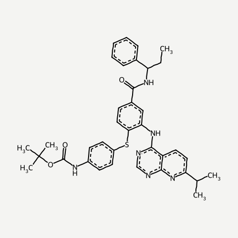 CCC(NC(=O)c1ccc(Sc2ccc(NC(=O)OC(C)(C)C)cc2)c(Nc2ncnc3nc(C(C)C)ccc23)c1)c1ccccc1